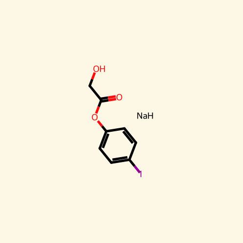 O=C(CO)Oc1ccc(I)cc1.[NaH]